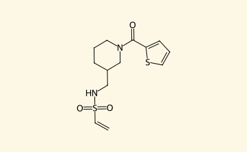 C=CS(=O)(=O)NCC1CCCN(C(=O)c2cccs2)C1